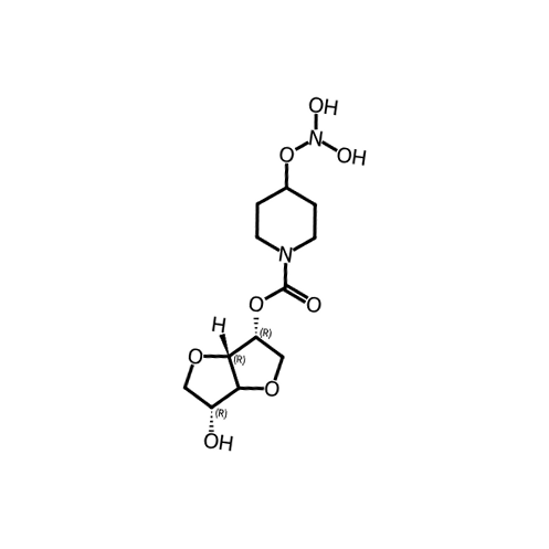 O=C(O[C@@H]1COC2[C@H](O)CO[C@@H]21)N1CCC(ON(O)O)CC1